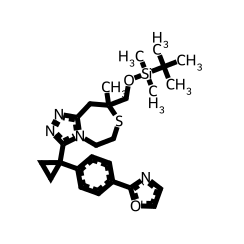 CC1(CO[Si](C)(C)C(C)(C)C)Cc2nnc(C3(c4ccc(-c5ncco5)cc4)CC3)n2CCS1